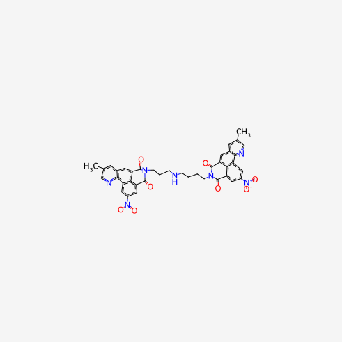 Cc1cnc2c(c1)cc1c3c(cc([N+](=O)[O-])cc32)C(=O)N(CCCCNCCCN2C(=O)c3cc([N+](=O)[O-])cc4c3c(cc3cc(C)cnc34)C2=O)C1=O